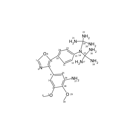 COc1cc(-c2ncoc2-c2ccc(N(C(N)(N)N)C(N)(N)N)cc2)cc(N)c1OC